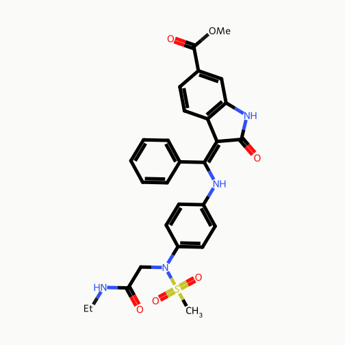 CCNC(=O)CN(c1ccc(N/C(=C2\C(=O)Nc3cc(C(=O)OC)ccc32)c2ccccc2)cc1)S(C)(=O)=O